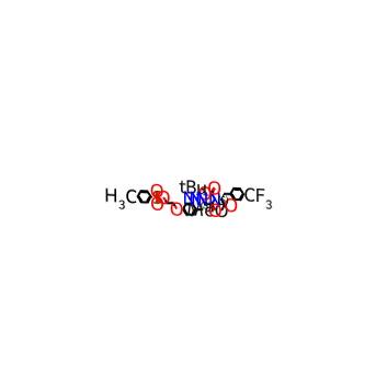 COC(=O)[C@H](Cc1ccc(C(F)(F)F)cc1)N(C(=O)OC(C)(C)C)C(=O)[C@H](Cc1ccc(OCCOS(=O)(=O)c2ccc(C)cc2)cc1)N=[N+]=[N-]